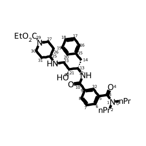 CCCN(CCC)C(=O)c1cccc(C(=O)N[C@@H](Cc2ccccc2)[C@H](O)CNC2CCN(C(=O)OCC)CC2)c1